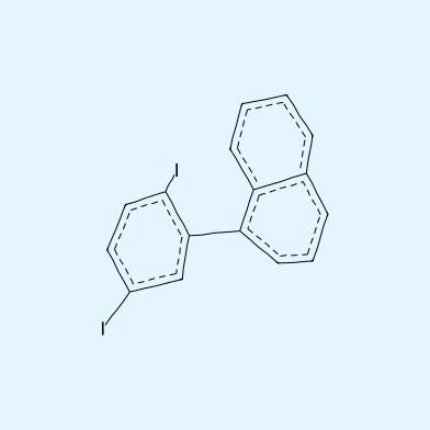 Ic1ccc(I)c(-c2cccc3ccccc23)c1